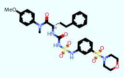 COc1ccc(N(C)C(=O)[C@H](CCc2ccccc2)NC(=O)NS(=O)(=O)Nc2cccc(S(=O)(=O)N3CCOCC3)c2)cc1